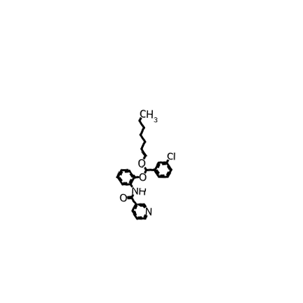 CCCCCCCOC(Oc1ccccc1NC(=O)c1cccnc1)c1cccc(Cl)c1